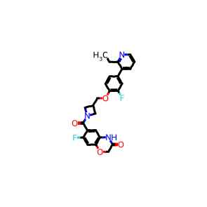 CCc1ncccc1-c1ccc(OCC2CN(C(=O)c3cc4c(cc3F)OCC(=O)N4)C2)c(F)c1